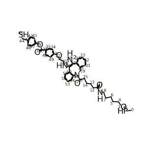 CPOCCCCCCNC(=O)CCCCC(=O)N1Cc2ccccc2/C(N)=C(/NCCOc2ccc(C(=O)Oc3ccc(CS)cc3)cc2)c2ccccc21